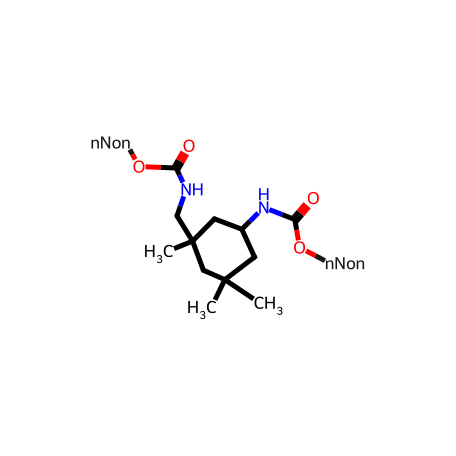 CCCCCCCCCOC(=O)NCC1(C)CC(NC(=O)OCCCCCCCCC)CC(C)(C)C1